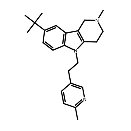 Cc1ccc(CCn2c3c(c4cc(C(C)(C)C)ccc42)CN(C)CC3)cn1